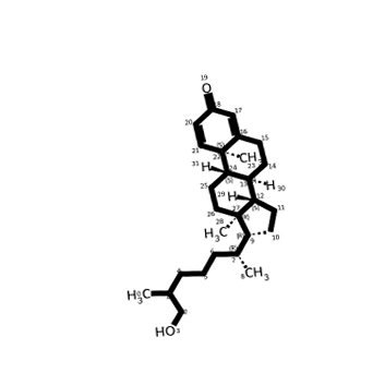 CC(CO)CCC[C@@H](C)[C@H]1CC[C@H]2[C@@H]3CCC4=CC(=O)C=C[C@]4(C)[C@H]3CC[C@]12C